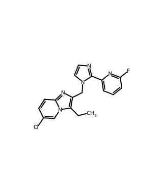 CCc1c(Cn2ccnc2-c2cccc(F)n2)nc2ccc(Cl)cn12